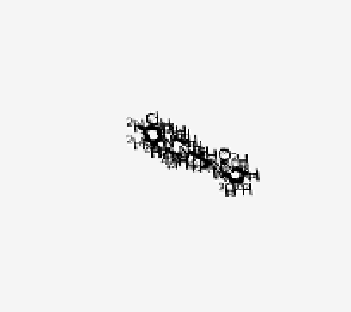 [2H]c1c([2H])c(Cl)c([2H])c(N2C([2H])([2H])C([2H])([2H])N(C([2H])([2H])C([2H])([2H])C([2H])([2H])n3nc4c([2H])c([2H])c([2H])c([2H])n4c3=O)C([2H])([2H])C2([2H])[2H])c1[2H]